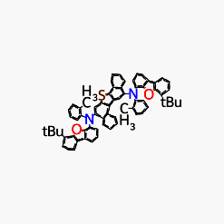 Cc1ccccc1N(c1cc2c(sc3cc(N(c4ccccc4C)c4cccc5c4oc4c(C(C)(C)C)cccc45)c4ccccc4c32)c2ccccc12)c1cccc2c1oc1c(C(C)(C)C)cccc12